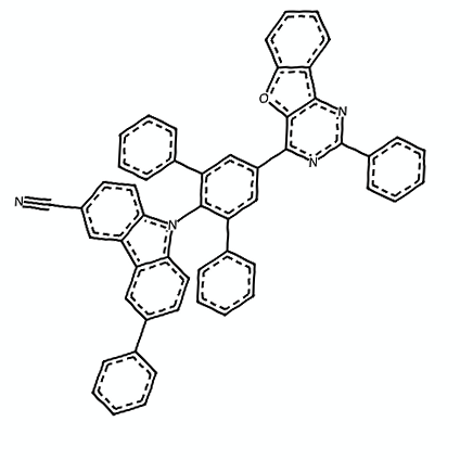 N#Cc1ccc2c(c1)c1cc(-c3ccccc3)ccc1n2-c1c(-c2ccccc2)cc(-c2nc(-c3ccccc3)nc3c2oc2ccccc23)cc1-c1ccccc1